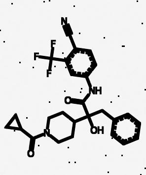 N#Cc1ccc(NC(=O)C(O)(Cc2ccccc2)C2CCN(C(=O)C3CC3)CC2)cc1C(F)(F)F